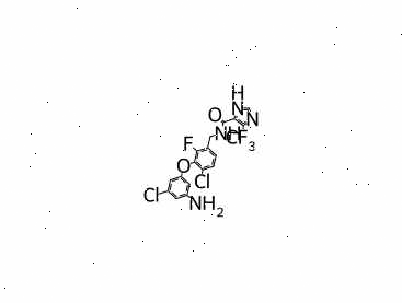 Nc1cc(Cl)cc(Oc2c(Cl)ccc(CNC(=O)c3[nH]cnc3C(F)(F)F)c2F)c1